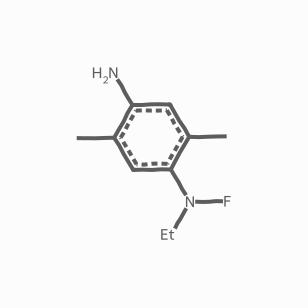 CCN(F)c1cc(C)c(N)cc1C